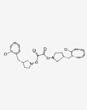 O=C(ON1CCC(Cc2ccccc2Cl)C1)C(=O)ON1CCC(Cc2ccccc2Cl)C1